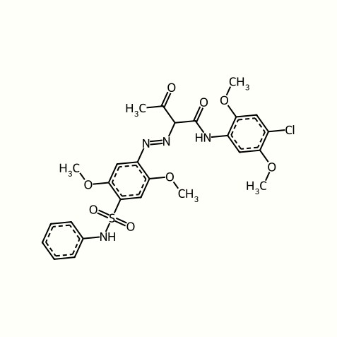 COc1cc(NC(=O)C(N=Nc2cc(OC)c(S(=O)(=O)Nc3ccccc3)cc2OC)C(C)=O)c(OC)cc1Cl